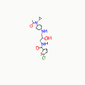 CC(=O)N(c1ccc(NCC(O)CNC(=O)c2ccc(Cl)s2)cc1)C1CC1